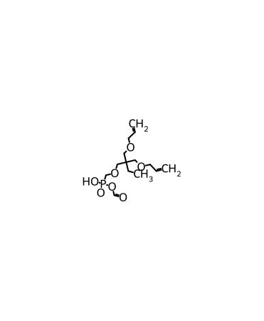 C=CCOCC(CC)(COCC=C)COCP(=O)(O)OC=O